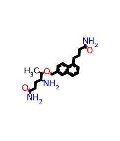 C[C@@H](OCc1ccc2c(CCCC(N)=O)cccc2c1)[C@@H](N)CCC(N)=O